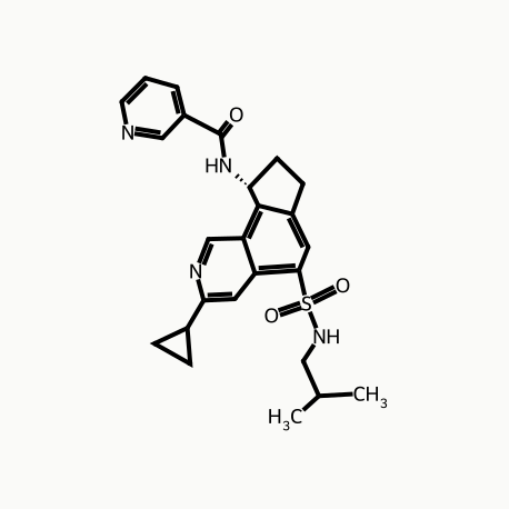 CC(C)CNS(=O)(=O)c1cc2c(c3cnc(C4CC4)cc13)[C@H](NC(=O)c1cccnc1)CC2